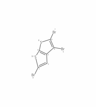 Brc1cc2c(Br)c(Br)sc2s1